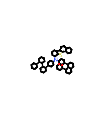 c1ccc(-c2ccccc2-c2ccccc2-c2ccc(N(c3ccc(-c4cccc5cccc(-c6ccccc6)c45)cc3)c3cccc4c3sc3c5ccccc5ccc43)cc2)cc1